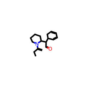 C=C(CC)N1CCCCC1C(C=O)C1C=CC=CC1